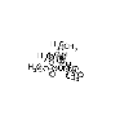 C=C(C)C1CC[C@@]2(C)S[P@@](=S)(O[C@H]3C[C@H](n4cc(C)c(NC(=O)c5ccccc5)nc4=O)O[C@@H]3COC(c3ccccc3)(c3ccc(OC)cc3)c3ccc(OC)cc3)O[C@@H]2C1